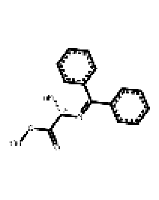 CCC[C@H](N=C(c1ccccc1)c1ccccc1)C(=O)OC(C)(C)C